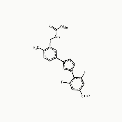 COC(=O)NCc1cc(-c2ccn(-c3c(F)cc(C=O)cc3F)n2)ccc1C